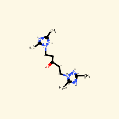 Cc1nc(C)n(CCC(=O)CCn2nc(C)nc2C)n1